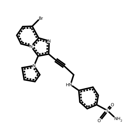 NS(=O)(=O)c1ccc(NCC#Cc2nc3c(Br)cccn3c2-n2cccc2)cc1